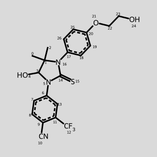 CC1(C)C(O)N(c2ccc(C#N)c(C(F)(F)F)c2)C(=S)N1c1ccc(OCCO)cc1